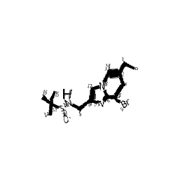 CCc1cc(Br)c2nc(CN[S@+]([O-])C(C)(C)C)cn2c1